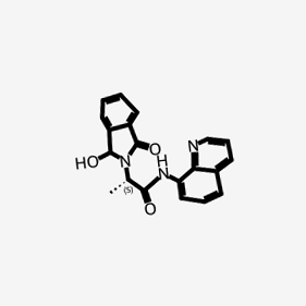 C[C@@H](C(=O)Nc1cccc2cccnc12)N1C(=O)c2ccccc2C1O